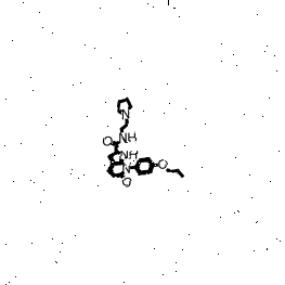 CCCOc1ccc(-n2c(=O)ccc3cc(C(=O)NCCN4CCCC4)[nH]c32)cc1